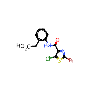 O=C(O)Cc1ccccc1NC(=O)c1nc(Br)sc1Cl